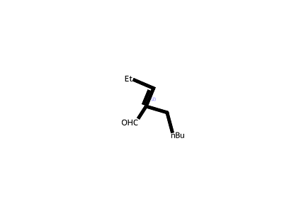 CC/C=C(\C=O)CCCCC